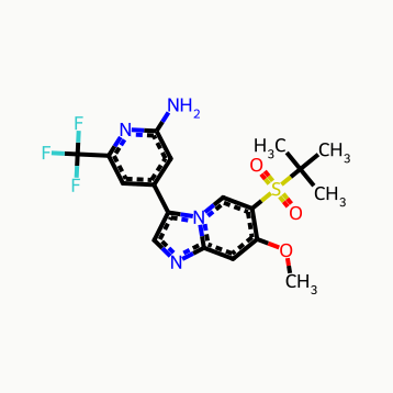 COc1cc2ncc(-c3cc(N)nc(C(F)(F)F)c3)n2cc1S(=O)(=O)C(C)(C)C